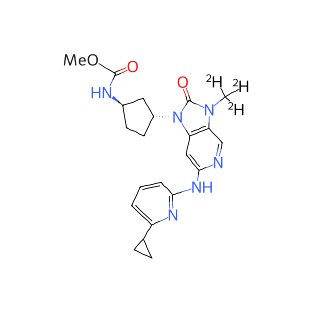 [2H]C([2H])([2H])n1c(=O)n([C@@H]2CC[C@@H](NC(=O)OC)C2)c2cc(Nc3cccc(C4CC4)n3)ncc21